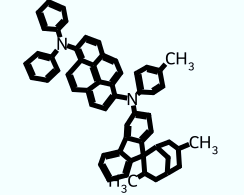 Cc1ccc(N(c2ccc3c(c2)-c2ccccc2C32C(C)CC3CC(C)CC2C3)c2ccc3ccc4c(N(c5ccccc5)c5ccccc5)ccc5ccc2c3c54)cc1